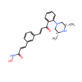 C[C@@H]1CN(c2ccccc2C(=O)C=Cc2cccc(C=CC(=O)NO)c2)C[C@H](C)N1